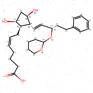 O=C(O)CCC/C=C\C[C@@H]1[C@@H](/C=C/[C@H](CCc2ccccc2)OC2CCCCO2)[C@H](O)C[C@@H]1O